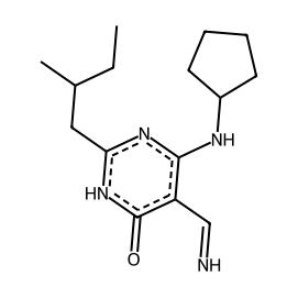 CCC(C)Cc1nc(NC2CCCC2)c(C=N)c(=O)[nH]1